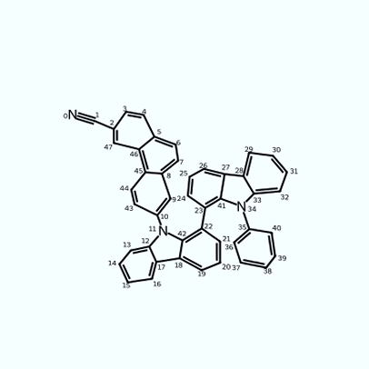 N#Cc1ccc2ccc3cc(-n4c5ccccc5c5cccc(-c6cccc7c8ccccc8n(-c8ccccc8)c67)c54)ccc3c2c1